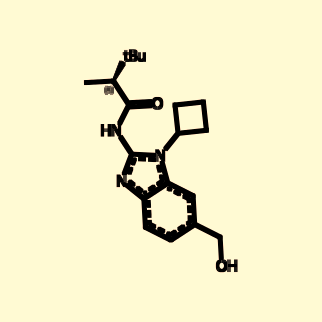 C[C@H](C(=O)Nc1nc2ccc(CO)cc2n1C1CCC1)C(C)(C)C